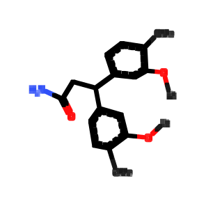 CCOc1cc(C(CC(N)=O)c2ccc(OC)c(OCC)c2)ccc1OC